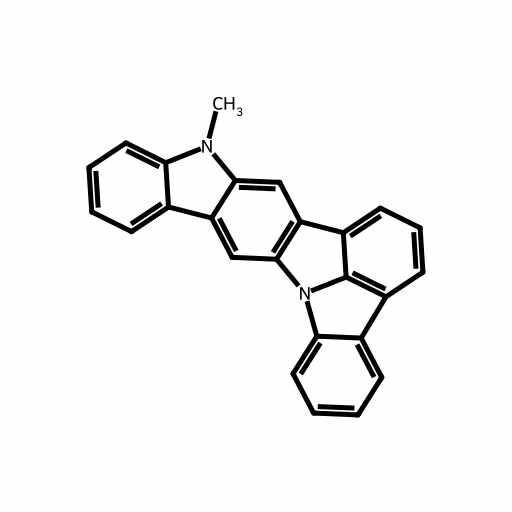 Cn1c2ccccc2c2cc3c(cc21)c1cccc2c4ccccc4n3c21